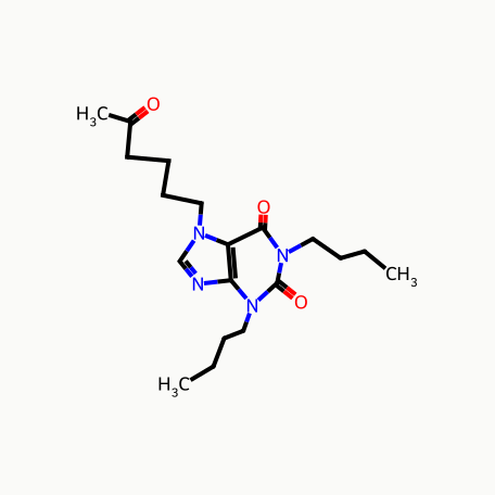 CCCCn1c(=O)c2c(ncn2CCCCC(C)=O)n(CCCC)c1=O